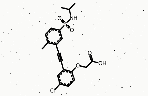 Cc1ccc(S(=O)(=O)NC(C)C)cc1C#Cc1cc(Cl)ccc1OCC(=O)O